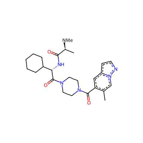 CN[C@@H](C)C(=O)N[C@H](C(=O)N1CCN(C(=O)c2cc3ccnn3cc2C)CC1)C1CCCCC1